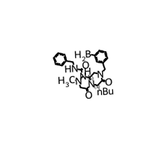 Bc1cccc(CN2C[C@H]3N(C(=O)CN(C)N3C(=O)NCc3ccccc3)[C@@H](CCCC)C2=O)c1